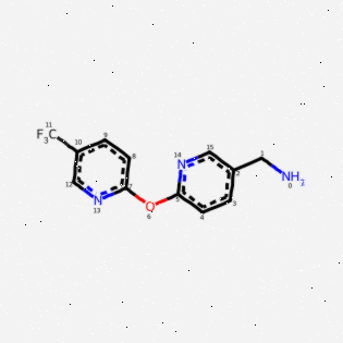 NCc1ccc(Oc2ccc(C(F)(F)F)cn2)nc1